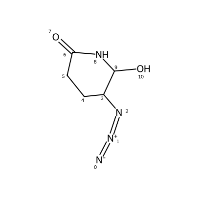 [N-]=[N+]=NC1CCC(=O)NC1O